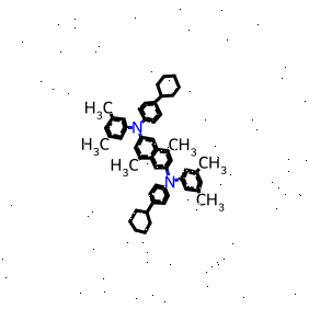 Cc1cc(C)cc(N(c2ccc(C3CCCCC3)cc2)c2cc(C)c3cc(N(c4ccc(C5CCCCC5)cc4)c4cc(C)cc(C)c4)cc(C)c3c2)c1